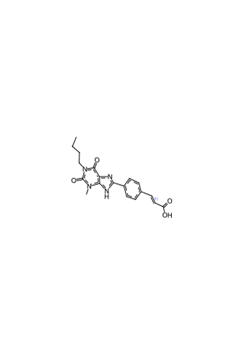 CCCCn1c(=O)c2nc(-c3ccc(/C=C/C(=O)O)cc3)[nH]c2n(C)c1=O